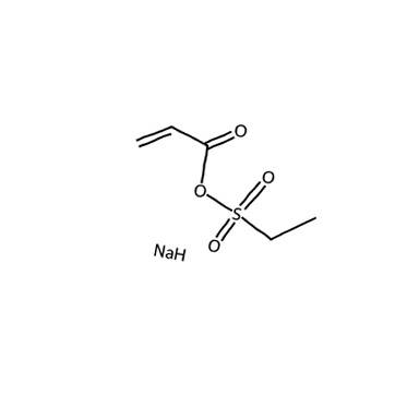 C=CC(=O)OS(=O)(=O)CC.[NaH]